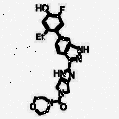 CCc1cc(O)c(F)cc1-c1ccc2c(-c3nc4c([nH]3)CN(C(=O)N3CCOCC3)C4)n[nH]c2c1